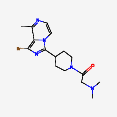 Cc1nccn2c(C3CCN(C(=O)CN(C)C)CC3)nc(Br)c12